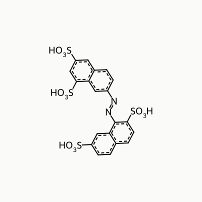 O=S(=O)(O)c1cc(S(=O)(=O)O)c2cc(N=Nc3c(S(=O)(=O)O)ccc4ccc(S(=O)(=O)O)cc34)ccc2c1